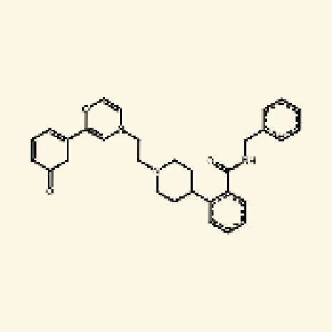 O=C1C=CC=C(C2=CN(CCN3CCC(c4ccccc4C(=O)NCc4ccccc4)CC3)C=CO2)C1